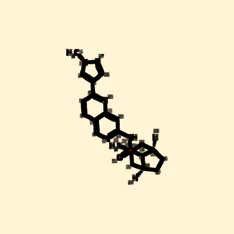 Cn1cc(-c2ccc3cnc(NC(=O)N4[C@@H]5CC[C@H]4C[C@@H](N)C5)cc3n2)cn1